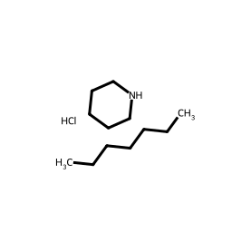 C1CCNCC1.CCCCCCC.Cl